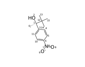 [CH2][C@@](O)(c1ccc([N+](=O)[O-])cc1)C(C)(C)C